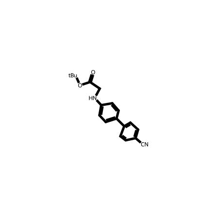 CC(C)(C)OC(=O)CNc1ccc(-c2ccc(C#N)cc2)cc1